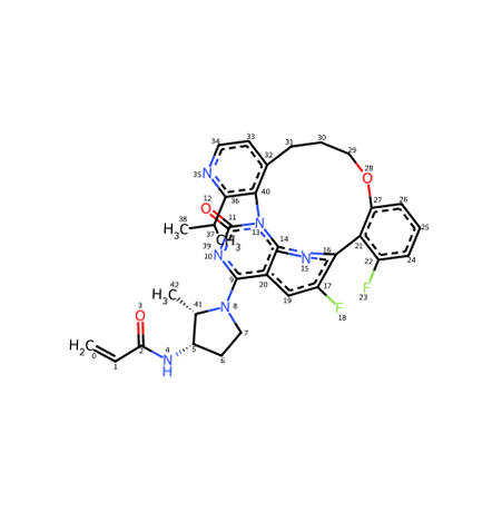 C=CC(=O)N[C@H]1CCN(c2nc(=O)n3c4nc(c(F)cc24)-c2c(F)cccc2OCCCc2ccnc(C(C)C)c2-3)[C@H]1C